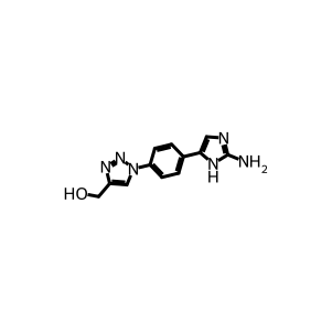 Nc1ncc(-c2ccc(-n3cc(CO)nn3)cc2)[nH]1